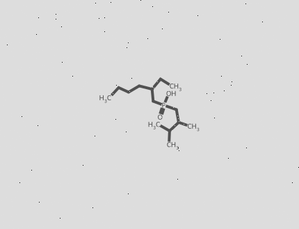 CCCCC(CC)CP(=O)(O)CC(C)C(C)C